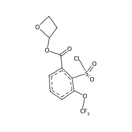 O=C(OC1CCO1)c1cccc(OC(F)(F)F)c1S(=O)(=O)Cl